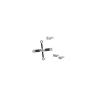 [Co+2].[Na+].[Ni+2].[O]=[Mn](=[O])([O-])[O-]